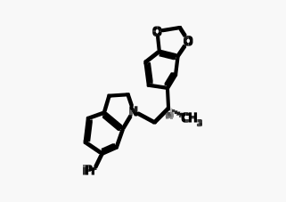 CC(C)c1ccc2c(c1)N(C[C@@H](C)c1ccc3c(c1)OCO3)CC2